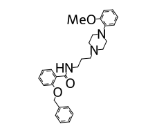 COc1ccccc1N1CCN(CCCNC(=O)c2ccccc2OCc2ccccc2)CC1